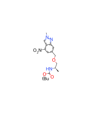 C[C@H](COCc1cc([N+](=O)[O-])c2cn(C)nc2c1)NC(=O)OC(C)(C)C